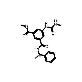 CNC(=O)Nc1cc(C(=O)N[C@H](C)c2ccccc2)cc(C(=O)OC)c1